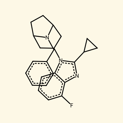 Fc1cccc2c1nc(C1CC1)n2C1CC2CCC(C1)N2Cc1ccccc1